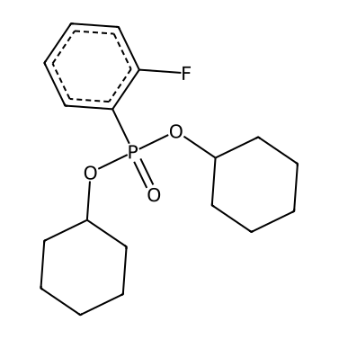 O=P(OC1CCCCC1)(OC1CCCCC1)c1ccccc1F